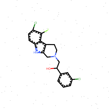 OC(CN1CCc2c([nH]c3ccc(Cl)c(F)c23)C1)c1cccc(Cl)c1